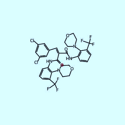 O=C(Nc1cccc(C(F)(F)F)c1N1CCOCC1)C(=Cc1cc(Cl)cc(Cl)c1)C(=O)Nc1cccc(C(F)(F)F)c1N1CCOCC1